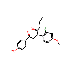 CCCC(=O)C(CC(=O)c1ccc(OC)cc1)c1ccc(OC)cc1Cl